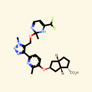 Cc1nc(-c2nnn(C)c2COC2(C)N=CC=C(C(F)F)N2)ccc1O[C@H]1C[C@@H]2CC[C@H](C(=O)O)[C@@H]2C1